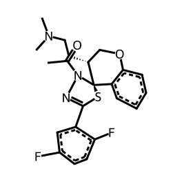 CC(=O)N1N=C(c2cc(F)ccc2F)S[C@@]12c1ccccc1OC[C@H]2CCN(C)C